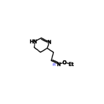 CCO/N=C\CC1CCNC=N1